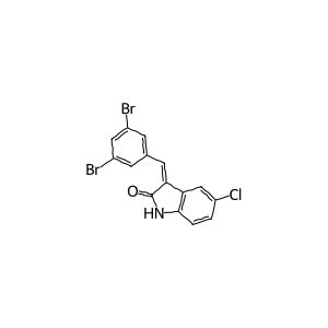 O=C1Nc2ccc(Cl)cc2/C1=C/c1cc(Br)cc(Br)c1